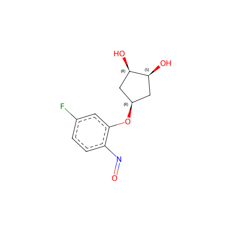 O=Nc1ccc(F)cc1O[C@H]1C[C@@H](O)[C@@H](O)C1